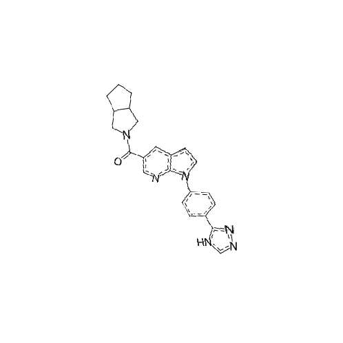 O=C(c1cnc2c(ccn2-c2ccc(-c3nnc[nH]3)cc2)c1)N1CC2CCCC2C1